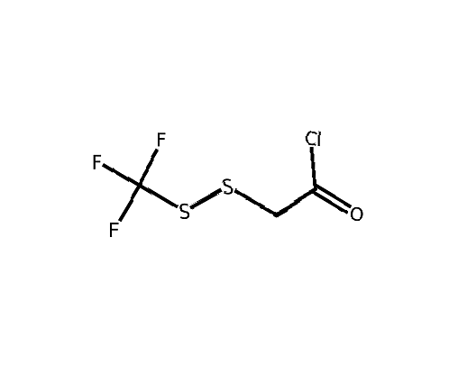 O=C(Cl)CSSC(F)(F)F